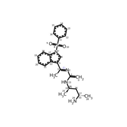 C=C(/N=C(\C)c1cn(S(=O)(=O)c2ccccc2)c2ccccc12)N[C@H](C)C[C@H](C)N